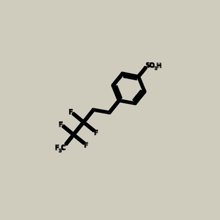 O=S(=O)(O)c1ccc(CCC(F)(F)C(F)(F)C(F)(F)F)cc1